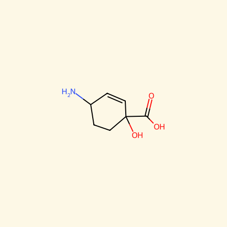 NC1C=CC(O)(C(=O)O)CC1